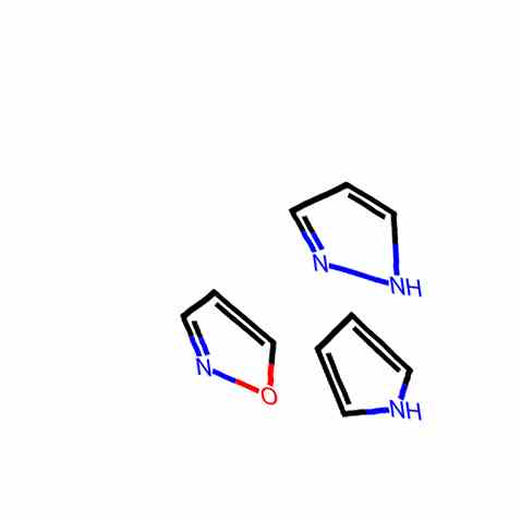 c1cc[nH]c1.c1cn[nH]c1.c1cnoc1